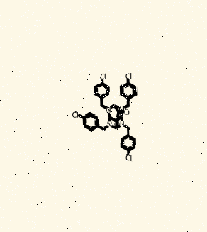 O=C1C2N(Cc3ccc(Cl)cc3)C3C(=O)C(N2Cc2ccc(Cl)cc2)N(Cc2ccc(Cl)cc2)C1N3Cc1ccc(Cl)cc1